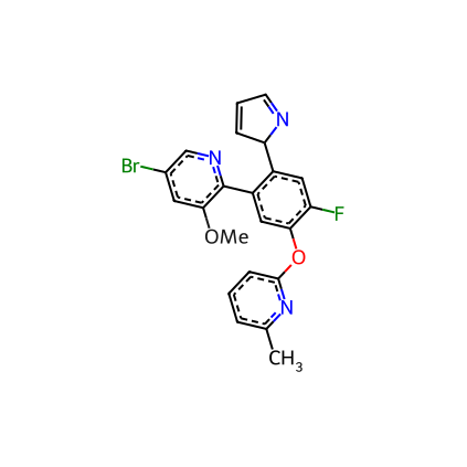 COc1cc(Br)cnc1-c1cc(Oc2cccc(C)n2)c(F)cc1C1C=CC=N1